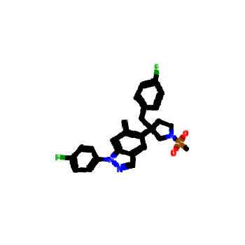 Cc1cc2c(cnn2-c2ccc(F)cc2)cc1C1(Cc2ccc(F)cc2)CCN(S(C)(=O)=O)C1